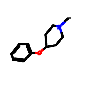 [CH2]N1CCC(Oc2ccccc2)CC1